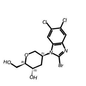 OC[C@H]1OC[C@@H](n2c(Br)nc3cc(Cl)c(Cl)cc32)C[C@@H]1O